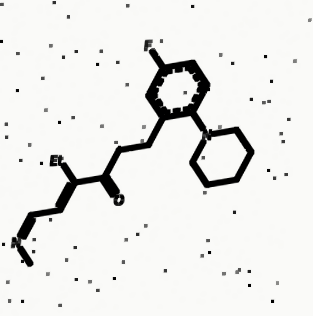 CC/C(=C\C=N/C)C(=O)CCc1cc(F)ccc1N1CCCCC1